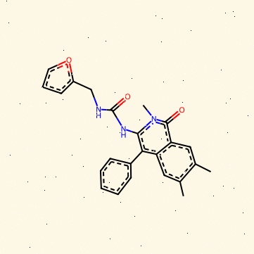 Cc1cc2c(-c3ccccc3)c(NC(=O)NCc3ccco3)n(C)c(=O)c2cc1C